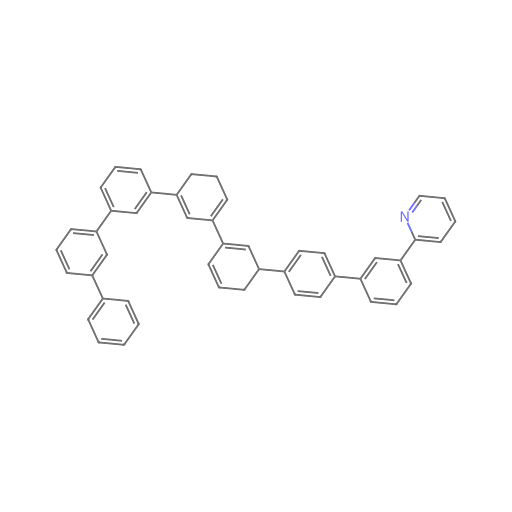 C1=CC(C2=CCCC(c3cccc(-c4cccc(-c5ccccc5)c4)c3)=C2)=CC(c2ccc(-c3cccc(-c4ccccn4)c3)cc2)C1